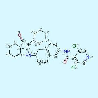 O=C(Nc1ccc(CC(NC2=C(C3SCCCS3)C(=O)C23CCCCC3)C(=O)O)cc1)c1c(Cl)cncc1Cl